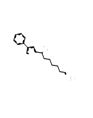 C=CCCCCCC(N)c1cc(-c2ccccc2)co1